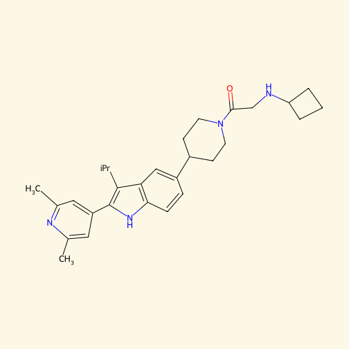 Cc1cc(-c2[nH]c3ccc(C4CCN(C(=O)CNC5CCC5)CC4)cc3c2C(C)C)cc(C)n1